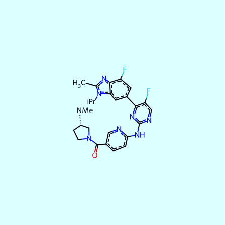 CN[C@H]1CCN(C(=O)c2ccc(Nc3ncc(F)c(-c4cc(F)c5nc(C)n(C(C)C)c5c4)n3)nc2)C1